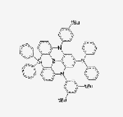 CC(C)(C)c1ccc(N2c3cc(N(c4ccccc4)c4ccccc4)cc4c3B3c5c2cccc5[Si](c2ccccc2)(c2ccccc2)c2cccc(c23)N4c2cc(C(C)(C)C)cc(C(C)(C)C)c2)cc1